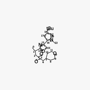 CC(CS(=O)(=O)CC1CCOCC1)c1nc(-c2cc(C(C)(C)C)nn2C)co1